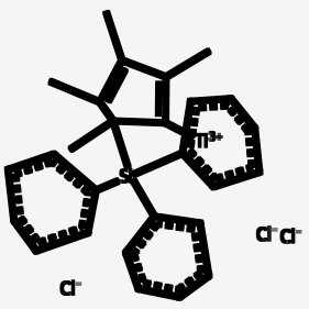 CC1=C(C)C(C)([Si](c2ccccc2)(c2ccccc2)c2ccccc2)[C]([Ti+3])=C1C.[Cl-].[Cl-].[Cl-]